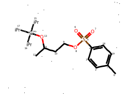 Cc1ccc(S(=O)(=O)OCCC(C)O[Si](C(C)C)(C(C)C)C(C)C)cc1